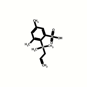 C=CC[Si](C)(C)c1c(C)cc(C)cc1S(=O)(=O)O